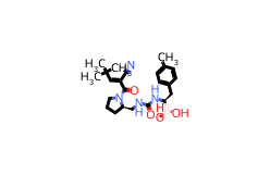 Cc1ccc(C[C@H](NC(=O)NC[C@H]2CCCN2C(=O)/C(C#N)=C/C(C)(C)C)B(O)O)cc1